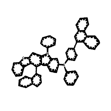 c1ccc(N(c2ccc(-c3cc4ccccc4c4ccccc34)cc2)c2ccc3c4c(-c5cccc6ccccc56)c5c(cc4n(-c4ccccc4)c3c2)oc2ccccc25)cc1